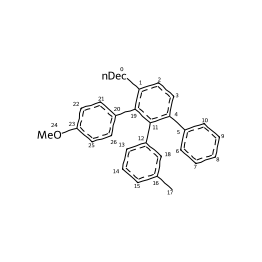 CCCCCCCCCCc1ccc(-c2ccccc2)c(-c2cccc(C)c2)c1-c1ccc(OC)cc1